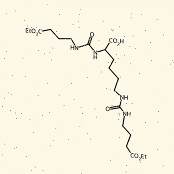 CCOC(=O)CCCNC(=O)NCCCCC(NC(=O)NCCCC(=O)OCC)C(=O)O